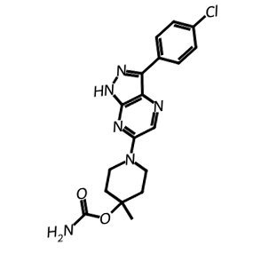 CC1(OC(N)=O)CCN(c2cnc3c(-c4ccc(Cl)cc4)n[nH]c3n2)CC1